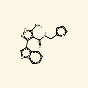 Nc1onc(-c2coc3ccccc23)c1C(=O)NCc1ccco1